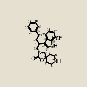 Cl.O=C1OC2(CCNCC2)CN1CC(CCc1ccccc1)c1c[nH]c2ccccc12